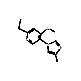 CCc1cc(OC)c(-n2cnc(C)c2)cn1